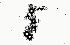 COCCCOc1cc(C(=O)N(CC2CNCC2CN(C(=O)Nc2cccc3ccccc23)C2CC2)C(C)C)ccc1OC